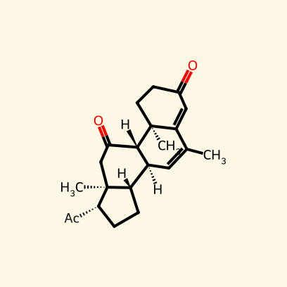 CC(=O)[C@H]1CC[C@H]2[C@@H]3C=C(C)C4=CC(=O)CC[C@]4(C)[C@H]3C(=O)C[C@]12C